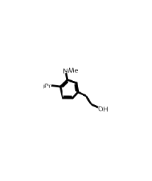 CNc1cc(CCO)ccc1C(C)C